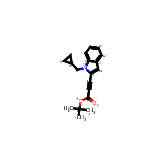 CC(C)(C)OC(=O)C#Cc1cc2ccccc2n1CC1CC1